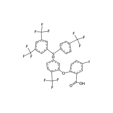 O=C(O)c1cc(I)ccc1Oc1cc([SH](c2ccc(C(F)(F)F)cc2)c2cc(C(F)(F)F)cc(C(F)(F)F)c2)ccc1C(F)(F)F